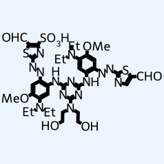 CCN(CC)c1cc(Nc2nc(Nc3cc(N(CC)CC)c(OC)cc3/N=N/c3nc(S(=O)(=O)O)c(C=O)s3)nc(N(CCO)CCO)n2)c(/N=N/c2ncc(C=O)s2)cc1OC